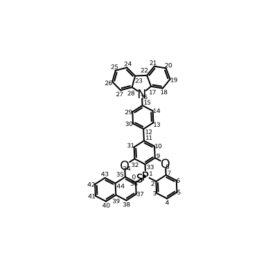 S=P12c3ccccc3Oc3cc(-c4ccc(-n5c6ccccc6c6ccccc65)cc4)cc(c31)Oc1c2ccc2ccccc12